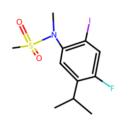 CC(C)c1cc(N(C)S(C)(=O)=O)c(I)cc1F